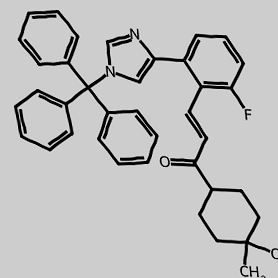 CC1(C)CCC(C(=O)/C=C/c2c(F)cccc2-c2cn(C(c3ccccc3)(c3ccccc3)c3ccccc3)cn2)CC1